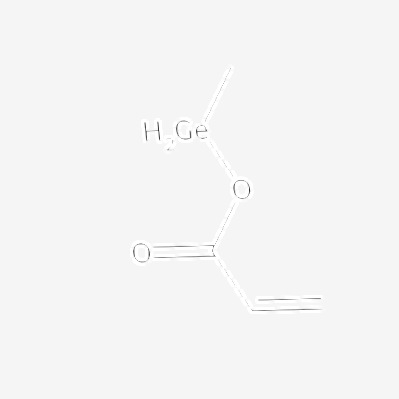 C=CC(=O)[O][GeH2][CH3]